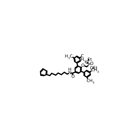 CCOP(=O)(COc1c(-c2cc(C)cc(C)c2)cc(C(=O)NCCCCCCCc2ccccc2)cc1-c1cc(C)cc(C)c1)OCC